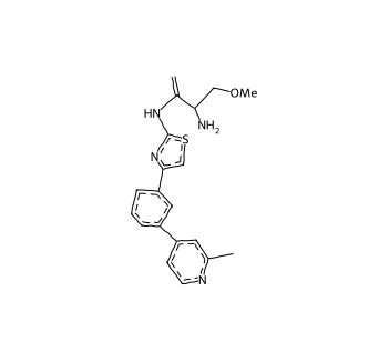 C=C(Nc1nc(-c2cccc(-c3ccnc(C)c3)c2)cs1)C(N)COC